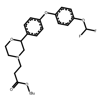 CC(C)(C)OC(=O)CCN1CCOC(c2ccc(Oc3ccc(OC(F)F)cc3)cc2)C1